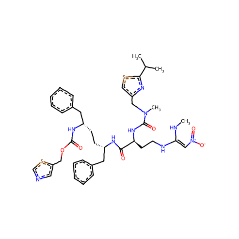 CN/C(=C\[N+](=O)[O-])NCC[C@H](NC(=O)N(C)Cc1csc(C(C)C)n1)C(=O)N[C@@H](CC[C@@H](Cc1ccccc1)NC(=O)OCc1cncs1)Cc1ccccc1